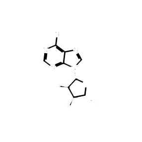 CC[C@H]1O[C@@H](n2cnc3c(N)ncnc32)[C@H](O)[C@@H]1[SeH]